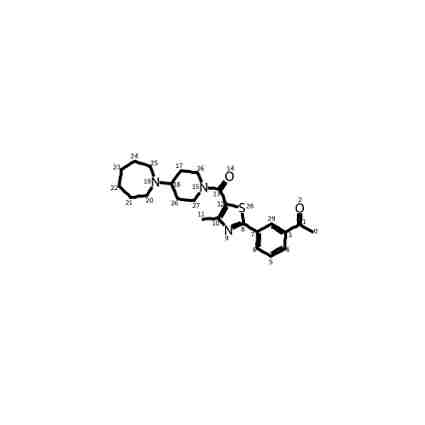 CC(=O)c1cccc(-c2nc(C)c(C(=O)N3CCC(N4CCCCCC4)CC3)s2)c1